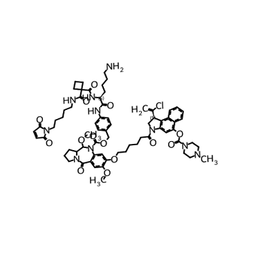 C=C(Cl)[C@@H]1CN(C(=O)CCCCCOc2cc3c(cc2OC)C(=O)N2CCCC2C(OC)N3C(=O)OCc2ccc(NC(=O)[C@H](CCCCN)NC(=O)C3(C(=O)NCCCCCN4C(=O)C=CC4=O)CCC3)cc2)c2cc(OC(=O)N3CCN(C)CC3)c3ccccc3c21